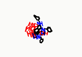 Oc1c(NCc2ccccc2)c(O)c2c(NCc3ccccc3)cc(NCc3ccccc3)c(O)c2c1O